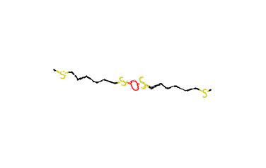 CSCCCCCCSOSCCCCCCSC